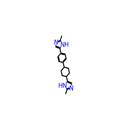 Cc1ncc(-c2ccc(C3CCC(c4cnc(C)[nH]4)CC3)cc2)[nH]1